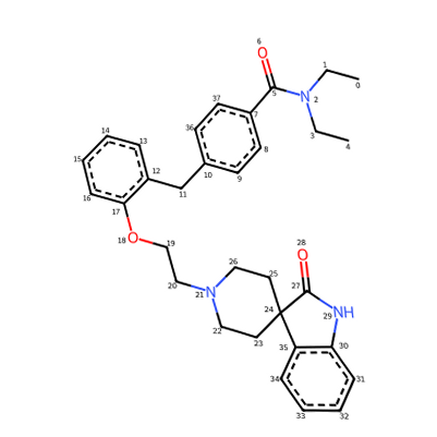 CCN(CC)C(=O)c1ccc(Cc2ccccc2OCCN2CCC3(CC2)C(=O)Nc2ccccc23)cc1